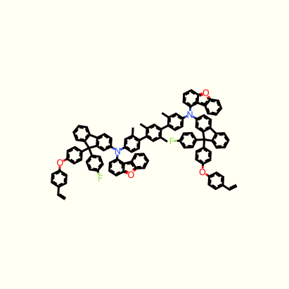 C=Cc1ccc(Oc2ccc(C3(c4ccc(F)cc4)c4ccccc4-c4ccc(N(c5ccc(-c6cc(C)c(-c7ccc(N(c8ccc9c(c8)C(c8ccc(F)cc8)(c8ccc(Oc%10ccc(C=C)cc%10)cc8)c8ccccc8-9)c8cccc9oc%10ccccc%10c89)cc7C)cc6C)c(C)c5)c5cccc6oc7ccccc7c56)cc43)cc2)cc1